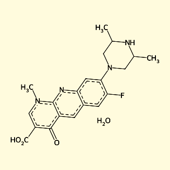 CC1CN(c2cc3nc4c(cc3cc2F)c(=O)c(C(=O)O)cn4C)CC(C)N1.O